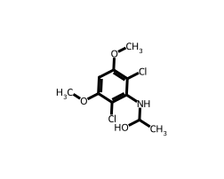 COc1cc(OC)c(Cl)c(NC(C)O)c1Cl